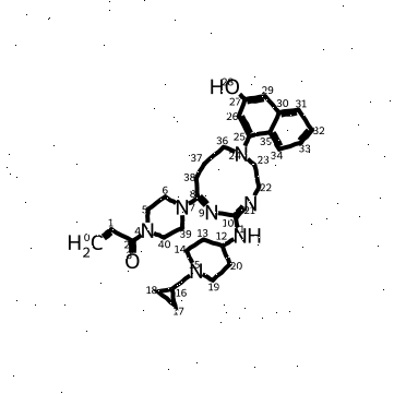 C=CC(=O)N1CCN(/C2=N/C(NC3CCN(C4CC4)CC3)=N\CCN(c3cc(O)cc4ccccc34)CCC2)CC1